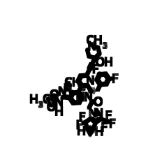 CN1CCC(O)(C#Cc2ccc(-c3cccc4c(NS(C)(=O)=O)nn(C)c34)c([C@H](Cc3cc(F)cc(F)c3)NC(=O)Cn3nc(C(F)(F)F)c4c3C(F)(F)[C@@H]3C[C@H]43)n2)CC1